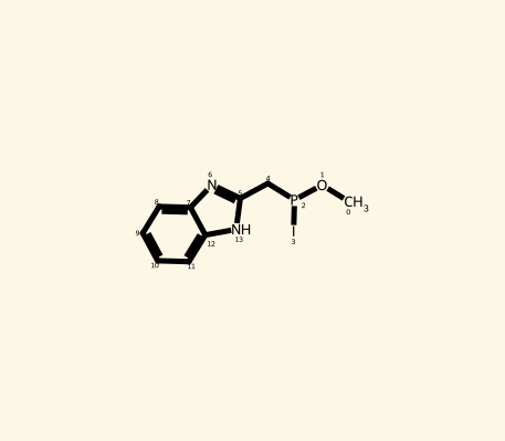 COP(I)Cc1nc2ccccc2[nH]1